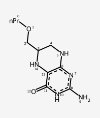 CCCOCC1CNc2nc(N)[nH]c(=O)c2N1